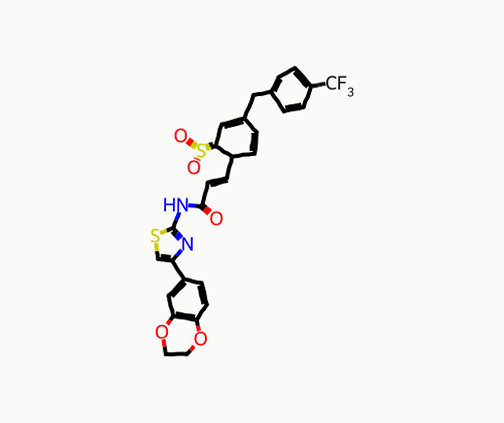 O=C(C=CC1C=CC(Cc2ccc(C(F)(F)F)cc2)=CC1=S(=O)=O)Nc1nc(-c2ccc3c(c2)OCCO3)cs1